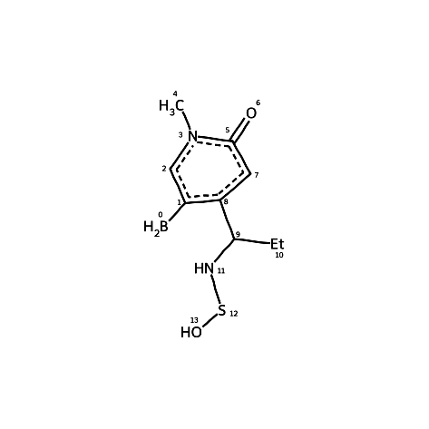 Bc1cn(C)c(=O)cc1C(CC)NSO